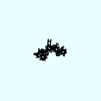 Cc1ccccc1N1CC(C)(C)N([C@H]2CNC[C@@H](C(=O)N[C@H](CC3CC3)c3ccccc3)C2)CC1=O